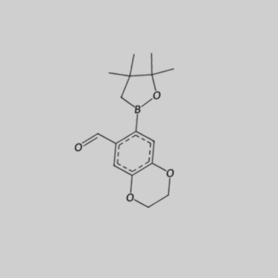 CC1(C)CB(c2cc3c(cc2C=O)OCCO3)OC1(C)C